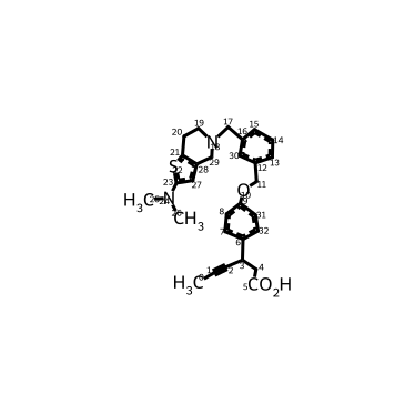 CC#CC(CC(=O)O)c1ccc(OCc2cccc(CN3CCc4sc(N(C)C)cc4C3)c2)cc1